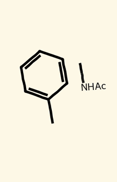 CNC(C)=O.Cc1ccccc1